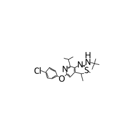 CSC(=Nc1c(C(C)C)cc(Oc2ccc(Cl)cc2)nc1C(C)C)NC(C)(C)C